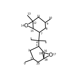 CC1CC(C(C)(C)C2CC(C)CC3(C)OC23)C2OC2(C)C1